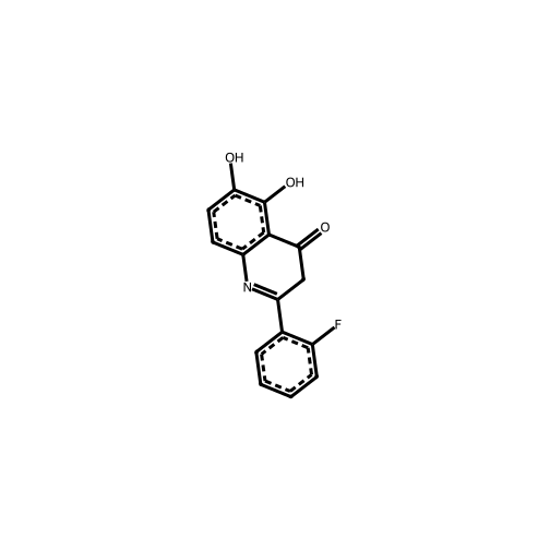 O=C1CC(c2ccccc2F)=Nc2ccc(O)c(O)c21